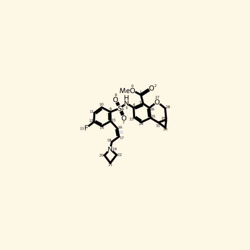 COC(=O)c1c(NS(=O)(=O)c2ccc(F)cc2/C=C\CN2CCC2)ccc2c1OCC1CC21